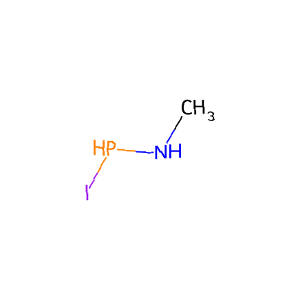 CNPI